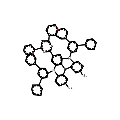 CCCCc1ccc2c(c1)B1c3cc(CCCC)ccc3N(c3cc(-c4ccccc4)cc(-c4ccccc4)c3)c3cc(-c4nc(-c5ccccc5)nc(-c5ccccc5)n4)cc(c31)N2c1cc(-c2ccccc2)cc(-c2ccccc2)c1